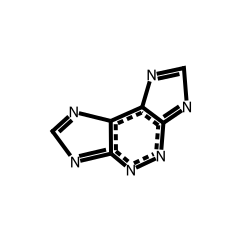 C1=Nc2c3c(nnc2=N1)=NC=N3